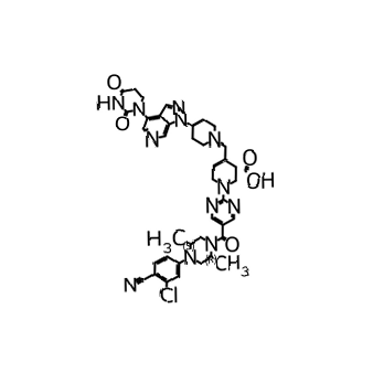 C[C@@H]1CN(c2ccc(C#N)c(Cl)c2)[C@@H](C)CN1C(=O)c1cnc(N2CCC(CN3CCC(n4ncc5c(N6CCC(=O)NC6=O)cncc54)CC3)CC2)nc1.O=CO